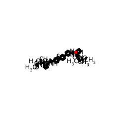 COC(=O)NC(C(=O)N1CCCC1c1ncc(-c2ccc3c(c2)sc2cc(-c4ccc5nc(C6C7CCC(C7)N6C(=O)C(NC(=O)OC)C(C)C)[nH]c5c4)ccc23)[nH]1)C(C)C